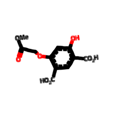 COC(=O)COc1cc(O)c(C(=O)O)cc1C(=O)O